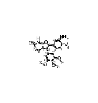 COc1ccc(-c2oc3[nH]c(=O)ncc3c2-c2cc(OC)c(OC)c(OC)c2)cc1N